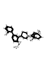 COc1ccc(-c2ccccc2F)cc1C1CCN([C@H]2C[C@H]3CC[C@H]2C3)CC1